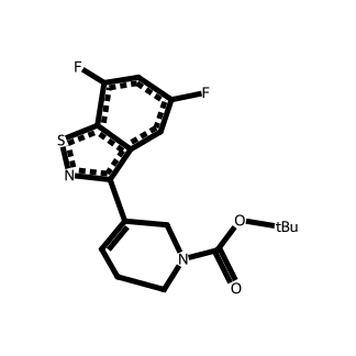 CC(C)(C)OC(=O)N1CCC=C(c2nsc3c(F)cc(F)cc23)C1